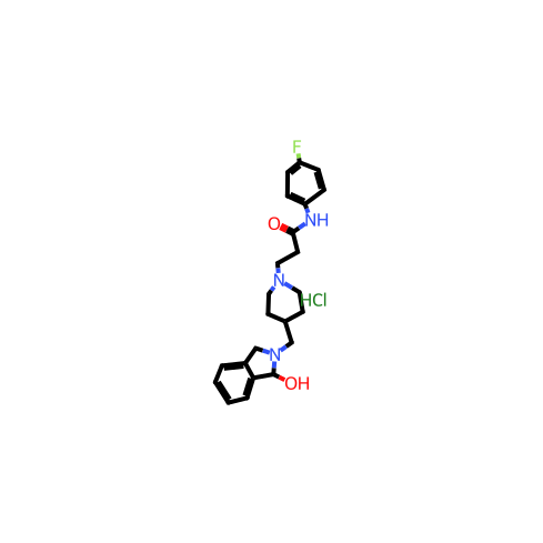 Cl.O=C(CCN1CCC(CN2Cc3ccccc3C2O)CC1)Nc1ccc(F)cc1